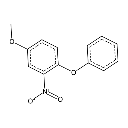 COc1ccc(Oc2ccccc2)c([N+](=O)[O-])c1